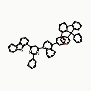 c1ccc(-c2nc(-c3ccc(-c4cccc(-c5cccc6c5C(c5ccccc5)(c5ccccc5)c5ccccc5-6)c4)c4ccccc34)cc(-c3cccc4c3sc3ccccc34)n2)cc1